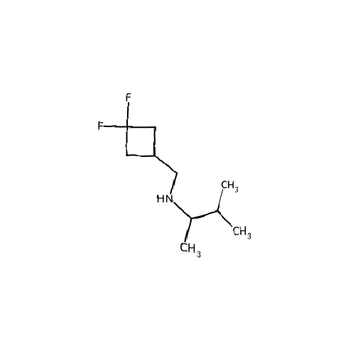 CC(C)C(C)NCC1CC(F)(F)C1